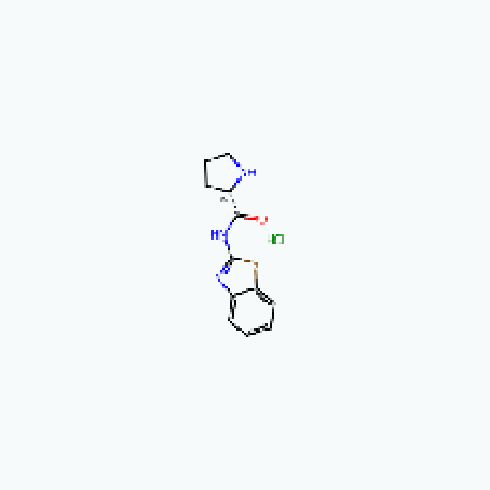 Cl.O=C(Nc1nc2ccccc2s1)[C@@H]1CCCN1